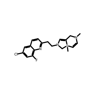 CN1C=CS2(C)CN(CCc3ccc4cc(Cl)cc(F)c4n3)C=C2C1